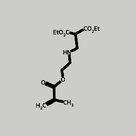 C=C(C)C(=O)OCCNCC(C(=O)OCC)C(=O)OCC